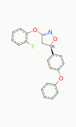 Fc1ccccc1OC1=NO[C@@H](c2ccc(Oc3ccccc3)cc2)C1